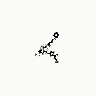 C[C@@]12C[C@@H]1N(C(=O)CNC(=O)CCCOc1ccccc1)[C@H](C(=O)N[C@@H]1CCN(C(=O)CCN)C1)C2